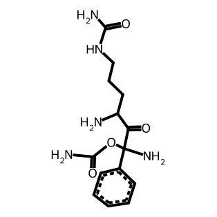 NC(=O)NCCCC(N)C(=O)C(N)(OC(N)=O)c1ccccc1